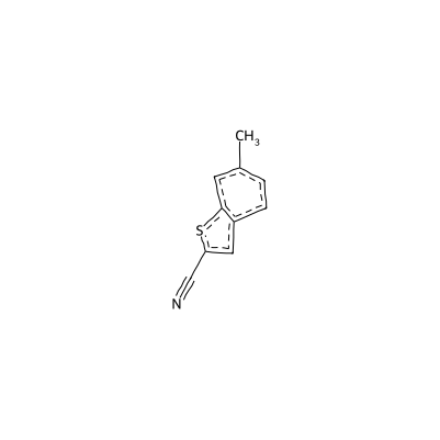 Cc1ccc2cc(C#N)sc2c1